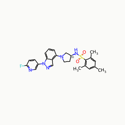 Cc1cc(C)c(S(=O)(=O)N[C@H]2CCN(c3cccc4c3cnn4-c3ccc(F)nc3)C2)c(C)c1